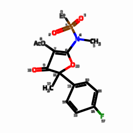 CCS(=O)(=O)N(C)C1=C(OC(C)=O)C(=O)C(C)(c2ccc(F)cc2)O1